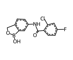 O=C(Nc1ccc2c(c1)B(O)OC2)c1ccc(F)cc1Cl